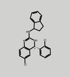 Clc1ccc2c(c1)[C@@H](c1ccccc1Cl)NC(NC1CCc3ccccc31)=N2